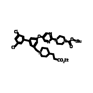 CCOC(=O)CCC1CCN(Cc2cc(Oc3cnc(N4CCN(C(=O)OC(C)(C)C)CC4)nc3)cc(-c3cc(Cl)cc(Cl)c3)c2)CC1